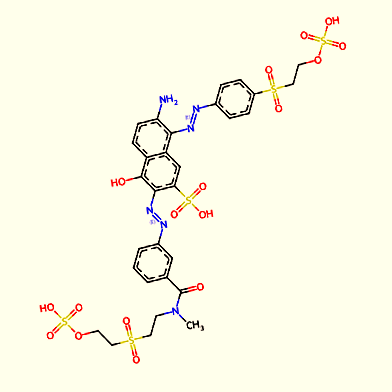 CN(CCS(=O)(=O)CCOS(=O)(=O)O)C(=O)c1cccc(/N=N/c2c(S(=O)(=O)O)cc3c(/N=N/c4ccc(S(=O)(=O)CCOS(=O)(=O)O)cc4)c(N)ccc3c2O)c1